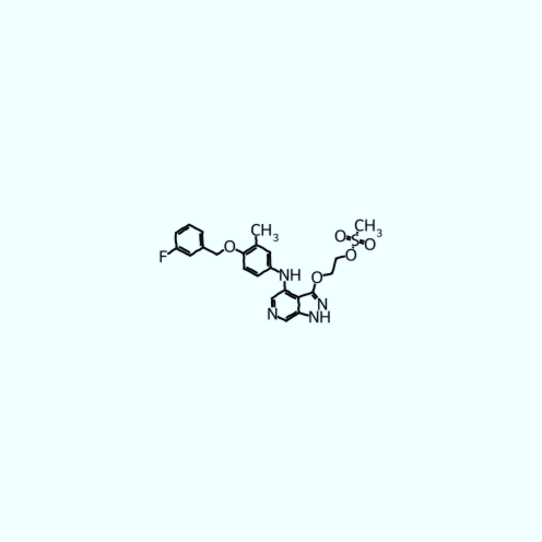 Cc1cc(Nc2cncc3[nH]nc(OCCOS(C)(=O)=O)c23)ccc1OCc1cccc(F)c1